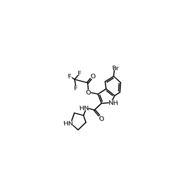 O=C(NC1CCNC1)c1[nH]c2ccc(Br)cc2c1OC(=O)C(F)(F)F